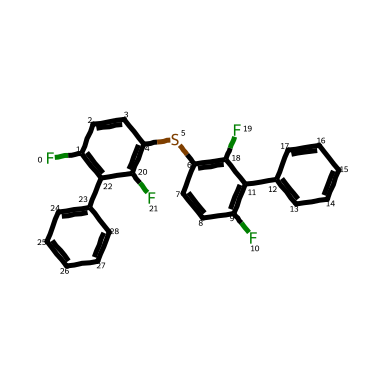 Fc1ccc(Sc2ccc(F)c(-c3ccccc3)c2F)c(F)c1-c1ccccc1